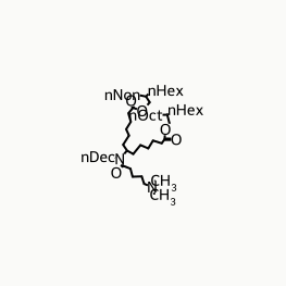 CCCCCCCCCCN(C(=O)CCCCN(C)C)C(CCCCCC(=O)OCC(CCCCCC)CCCCCCCC)CCCCCC(=O)OCC(CCCCCC)CCCCCCCCC